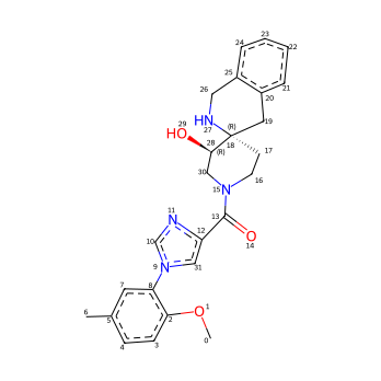 COc1ccc(C)cc1-n1cnc(C(=O)N2CC[C@]3(Cc4ccccc4CN3)[C@H](O)C2)c1